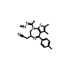 C=N/N=C(/C)N1CC(CC#N)N=C(c2ccc(C)cc2)c2c1sc(C)c2C